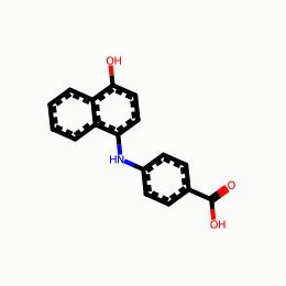 O=C(O)c1ccc(Nc2ccc(O)c3ccccc23)cc1